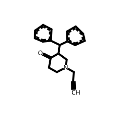 C#CCN1CCC(=O)C(C(c2ccccc2)c2ccccc2)C1